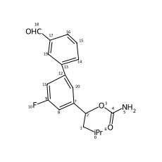 CC(C)CC(OC(N)=O)c1cc(F)cc(-c2cccc(C=O)c2)c1